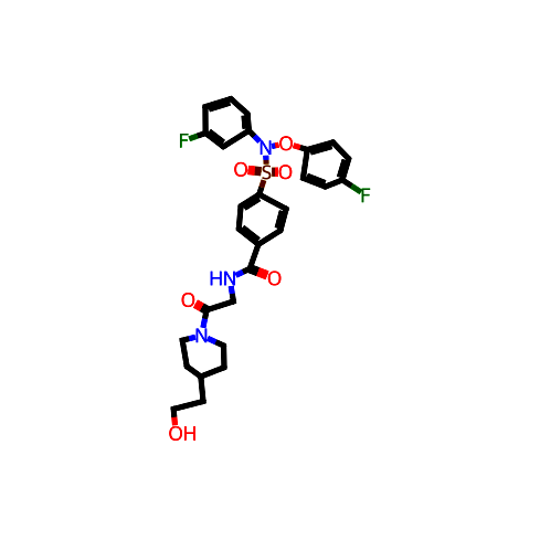 O=C(NCC(=O)N1CCC(CCO)CC1)c1ccc(S(=O)(=O)N(Oc2ccc(F)cc2)c2cccc(F)c2)cc1